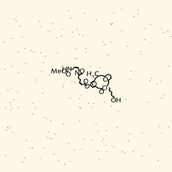 COC(=O)NC/C=C\c1nc(CC/C=C\C(=O)O[C@H]2CC3CC(=O)O[C@@H](CCCCCO)CC4CCCC(C[C@@H](C)CC(C2)O3)O4)co1